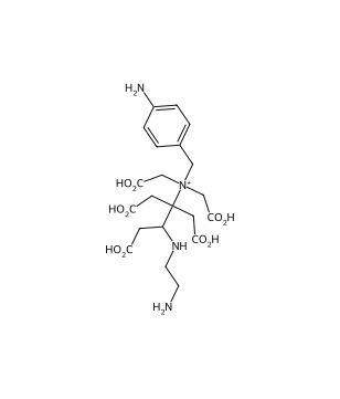 NCCNC(CC(=O)O)C(CC(=O)O)(CC(=O)O)[N+](CC(=O)O)(CC(=O)O)Cc1ccc(N)cc1